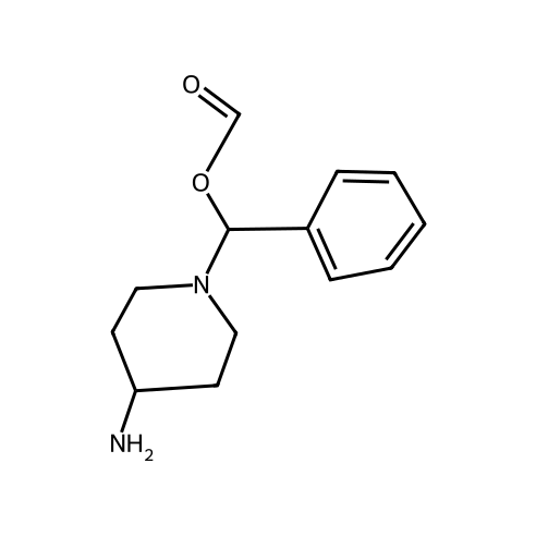 NC1CCN(C(OC=O)c2ccccc2)CC1